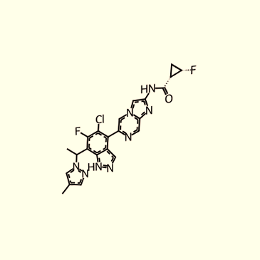 Cc1cnn(C(C)c2c(F)c(Cl)c(-c3cn4cc(NC(=O)[C@@H]5C[C@@H]5F)nc4cn3)c3cn[nH]c23)c1